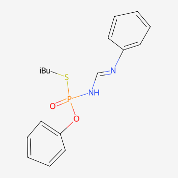 CCC(C)SP(=O)(NC=Nc1ccccc1)Oc1ccccc1